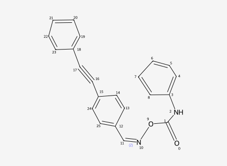 O=C(Nc1ccccc1)O/N=C\c1ccc(C#Cc2ccccc2)cc1